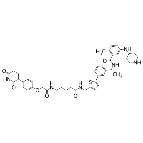 Cc1ccc(NC2CCNCC2)cc1C(=O)N[C@H](C)c1cccc(-c2ccc(CNC(=O)CCCCNC(=O)COc3ccc(C4CCC(=O)NC4=O)cc3)s2)c1